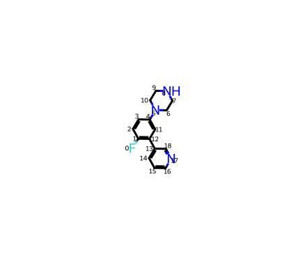 Fc1ccc(N2CCNCC2)cc1-c1cccnc1